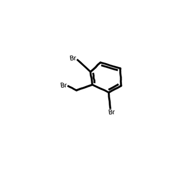 BrCc1c(Br)cccc1Br